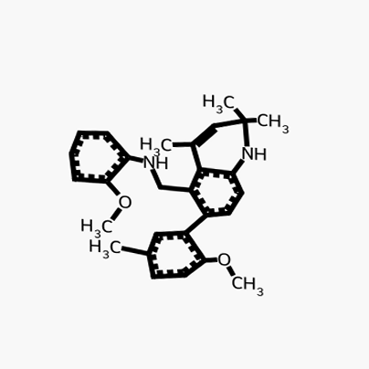 COc1ccccc1NCc1c(-c2cc(C)ccc2OC)ccc2c1C(C)=CC(C)(C)N2